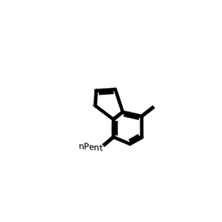 CCCCCc1ccc(C)c2c1[CH]C=C2